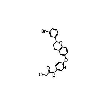 O=C(CCl)Nc1ccc(Oc2ccc3c(c2)CCC(c2cccc(Br)c2)O3)nc1